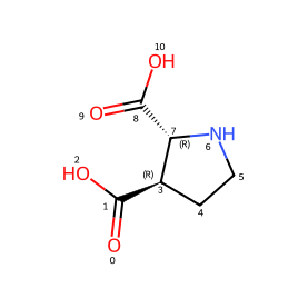 O=C(O)[C@@H]1CCN[C@H]1C(=O)O